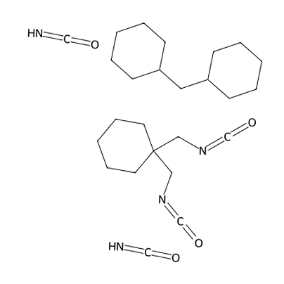 C1CCC(CC2CCCCC2)CC1.N=C=O.N=C=O.O=C=NCC1(CN=C=O)CCCCC1